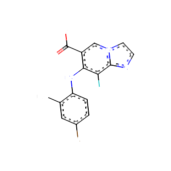 Cc1cc(Br)ccc1Nc1c(C(=O)O)cn2ccnc2c1F